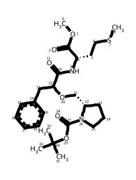 COC(=O)[C@H](CCSC)NC(=O)C(Cc1ccccc1)OC[C@@H]1CCCN1C(=O)OC(C)(C)C